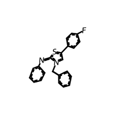 Fc1ccc(-c2cn(Cc3ccccc3)/c(=N\c3ccccc3)s2)cc1